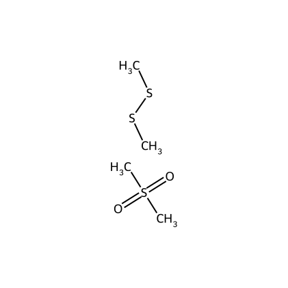 CS(C)(=O)=O.CSSC